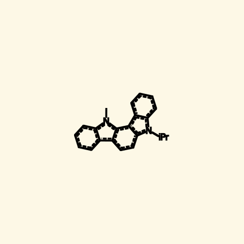 CC(C)n1c2ccccc2c2c3c(ccc21)c1ccccc1n3C